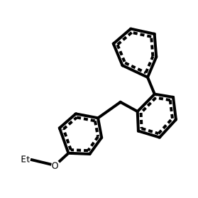 CCOc1ccc(Cc2ccccc2-c2ccccc2)cc1